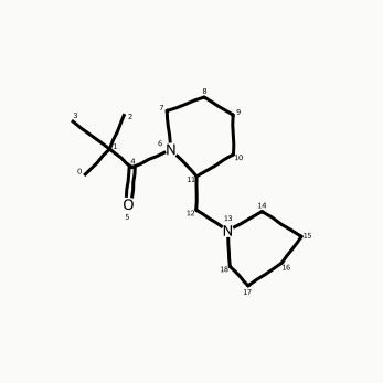 CC(C)(C)C(=O)N1CCCCC1CN1CCCCC1